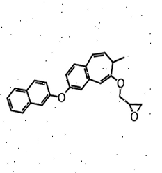 CC1C=Cc2ccc(Oc3ccc4ccccc4c3)cc2C=C1OCC1CO1